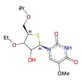 CCOC1C(O)[C@H](n2cc(OC)c(=O)[nH]c2=O)S[C@@H]1COC(C)C